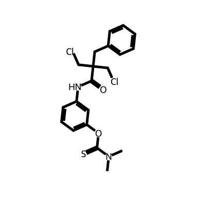 CN(C)C(=S)Oc1cccc(NC(=O)C(CCl)(CCl)Cc2ccccc2)c1